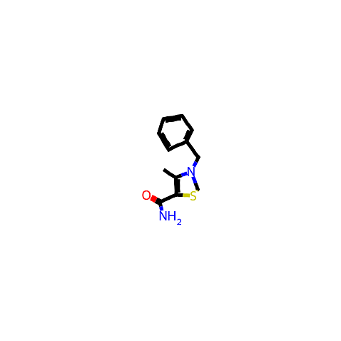 CC1=C(C(N)=O)SCN1Cc1ccccc1